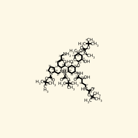 CN(C(=O)OC(C)(C)C)[C@@H]1[C@@H](O)[C@@H](O[C@@H]2[C@@H](O)[C@H](C3OC(CN)=CC[C@H]3NCC3CCCN3C(=O)OC(C)(C)C)[C@@H](NC(=O)OC(C)(C)C)C[C@H]2NC(=O)[C@@H](O)CCNC(=O)OC(C)(C)C)OC[C@]1(C)O